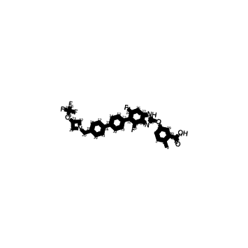 Cc1ccc(Oc2nc3c(F)c(-c4ccc(-c5ccc(CN6CC(OC(F)(F)F)C6)cc5)cc4)c(F)cc3[nH]2)cc1C(=O)O